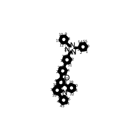 c1ccc(-c2nc(-c3ccccc3)nc(-c3ccc(-c4ccc5c(c4)oc4c(-c6ccccc6-n6c7ccccc7c7ccccc76)cccc45)cc3)n2)cc1